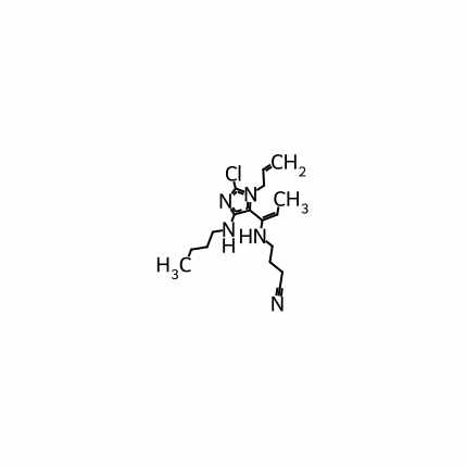 C=CCn1c(Cl)nc(NCCCC)c1/C(=C\C)NCCCC#N